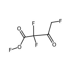 O=C(CF)C(F)(F)C(=O)OF